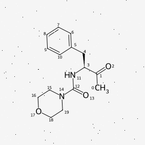 CC(=O)[C@H](Cc1ccccc1)NC(=O)N1CCOCC1